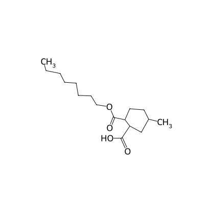 CCCCCCCCOC(=O)C1CCC(C)CC1C(=O)O